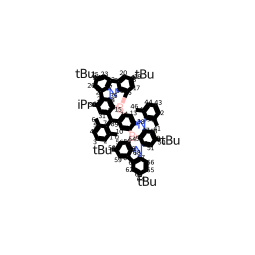 Cc1cccc(C)c1C1c2cc3c(cc2B2c4cc(C(C)(C)C)cc5c6cc(C(C)(C)C)cc7c8c(C(C)C)cc1c2c8n(c45)c67)N(c1c(C)cccc1C)c1cc(C(C)(C)C)cc2c1B3c1cc(C(C)(C)C)cc3c4cc(C(C)(C)C)ccc4n-2c13